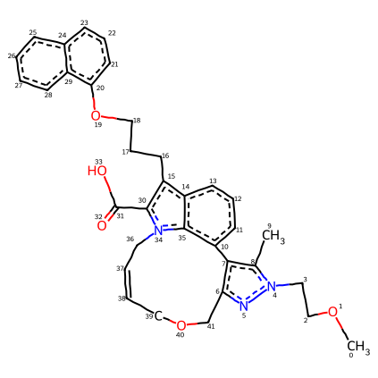 COCCn1nc2c(c1C)-c1cccc3c(CCCOc4cccc5ccccc45)c(C(=O)O)n(c13)C/C=C\COC2